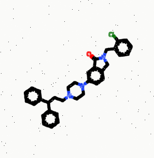 O=C1c2cc(N3CCN(CCC(c4ccccc4)c4ccccc4)CC3)ccc2CN1Cc1ccccc1Cl